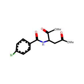 COC(=O)CC(NC(=O)c1ccc(Br)cc1)C(=O)OC